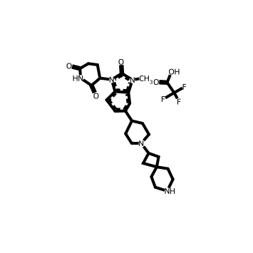 Cn1c(=O)n(C2CCC(=O)NC2=O)c2ccc(C3CCN(C4CC5(CCNCC5)C4)CC3)cc21.O=C(O)C(F)(F)F